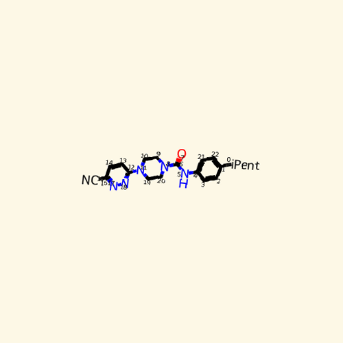 CCCC(C)c1ccc(NC(=O)N2CCN(c3ccc(C#N)nn3)CC2)cc1